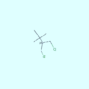 CC(C)(C)[SiH](CCl)CCl